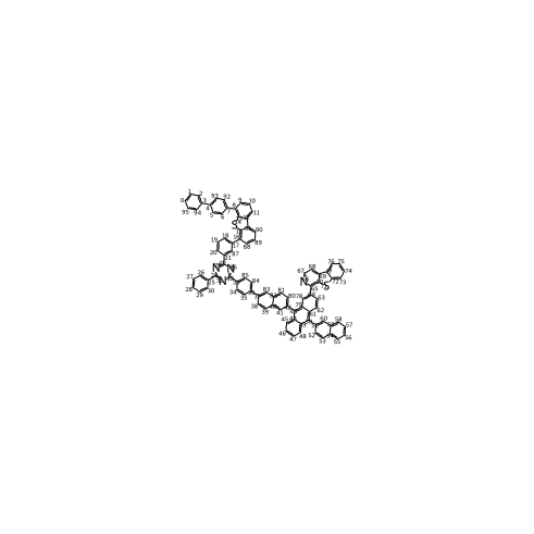 c1ccc(-c2ccc(-c3cccc4c3sc3c(-c5cccc(-c6nc(-c7ccccc7)nc(-c7ccc(-c8ccc9cc(-c%10c%11ccccc%11c(-c%11ccc%12ccccc%12c%11)c%11ccc(-c%12nccc%13c%12sc%12ccccc%12%13)cc%10%11)ccc9c8)cc7)n6)c5)cccc34)cc2)cc1